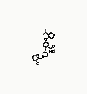 CC(C)c1ccccc1Oc1ccc(C2CCN(Cc3ncccc3Cl)C2)c(C=O)c1.Cl